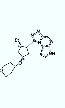 CC[C@@H]1C[C@H](OC2CCOCC2)CC1c1nnc2cnc3[nH]ccc3n12